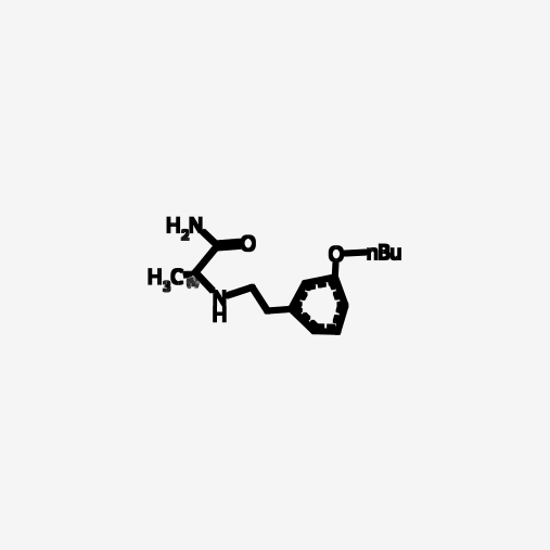 CCCCOc1cccc(CCN[C@@H](C)C(N)=O)c1